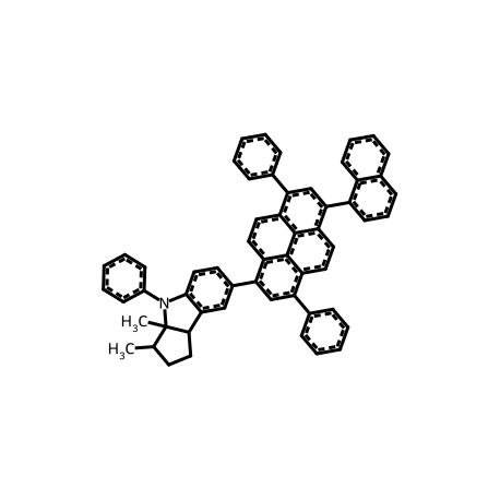 CC1CCC2c3cc(-c4cc(-c5ccccc5)c5ccc6c(-c7cccc8ccccc78)cc(-c7ccccc7)c7ccc4c5c76)ccc3N(c3ccccc3)C12C